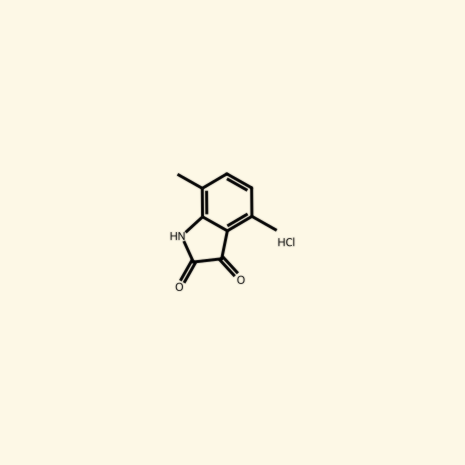 Cc1ccc(C)c2c1NC(=O)C2=O.Cl